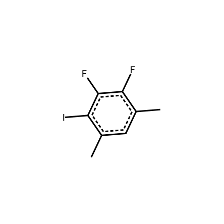 Cc1cc(C)c(I)c(F)c1F